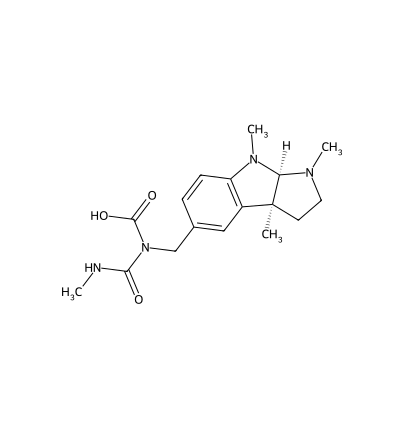 CNC(=O)N(Cc1ccc2c(c1)[C@]1(C)CCN(C)[C@@H]1N2C)C(=O)O